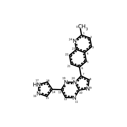 Cc1ccc2cc(-c3cnc4ncc(-c5cn[nH]c5)nn34)ccc2n1